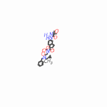 C[C@@H](C1CC1)N(Cc1ccccc1)C(=O)CN1C(=O)OC2(CCc3cc(NC(=O)C4(N)COC4)ccc32)C1=O